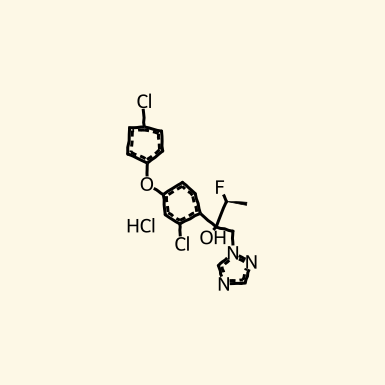 C[C@H](F)C(O)(Cn1cncn1)c1ccc(Oc2ccc(Cl)cc2)cc1Cl.Cl